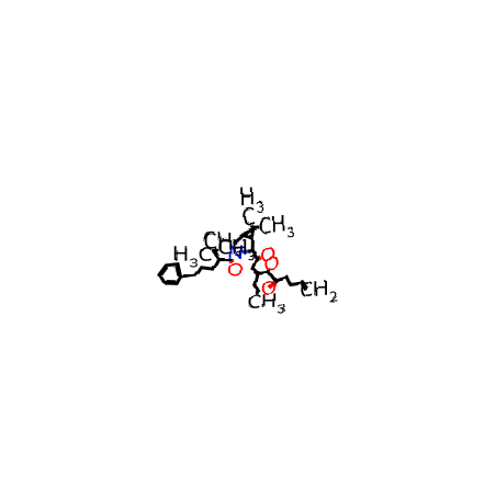 C=CCCC(=O)C(=O)C(CCC)CC(=O)C1C2C(CN1C(=O)C(CCCc1ccccc1)C(C)(C)C)C2(C)C